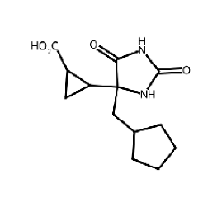 O=C1NC(=O)C(CC2CCCC2)(C2CC2C(=O)O)N1